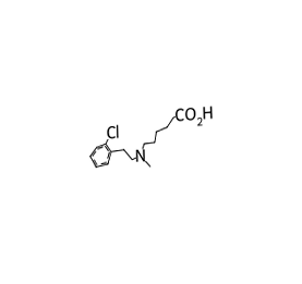 CN(CCCCCC(=O)O)CCc1ccccc1Cl